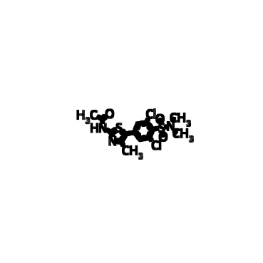 CC(=O)Nc1nc(C)c(-c2cc(Cl)c(S(=O)(=O)N(C)C)c(Cl)c2)s1